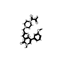 COc1cccc(-c2cn(C)c(=O)c3cc(CN4CCN(C(=O)C(C)=O)CC4)sc23)c1